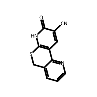 N#Cc1cc2c([nH]c1=O)SCc1cccnc1-2